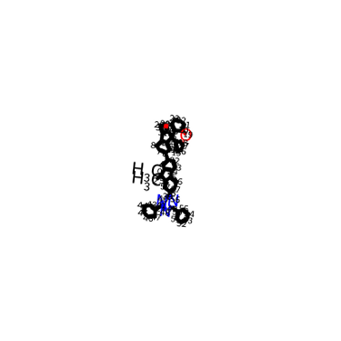 CC1(C)c2cc(-c3ccc4c(c3)C3(c5ccccc5Oc5ccccc53)c3ccccc3-4)ccc2-c2ccc(-c3nc(-c4ccccc4)nc(-c4ccccc4)n3)cc21